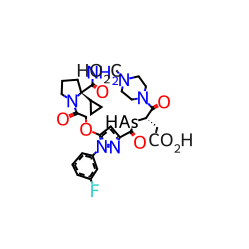 NC(=O)[C@@]1(C2CC2)CCCN1C(=O)COc1cc(C(=O)[AsH][C@@H](CC(=O)O)C(=O)N2CCN(C(=O)O)CC2)nn1-c1cccc(F)c1